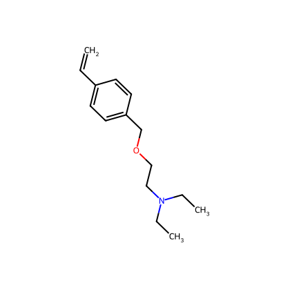 C=Cc1ccc(COCCN(CC)CC)cc1